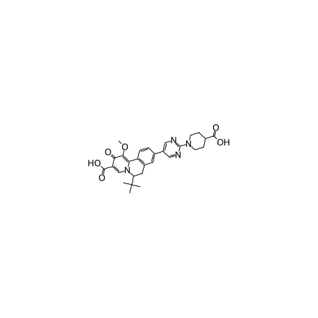 COc1c2n(cc(C(=O)O)c1=O)C(C(C)(C)C)Cc1cc(-c3cnc(N4CCC(C(=O)O)CC4)nc3)ccc1-2